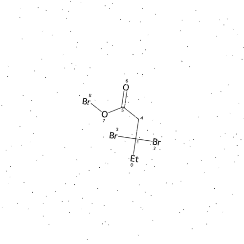 CCC(Br)(Br)CC(=O)OBr